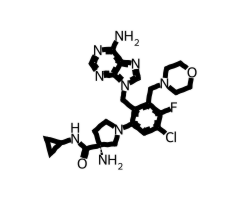 Nc1ncnc2c1ncn2Cc1c(N2CC[C@](N)(C(=O)NC3CC3)C2)cc(Cl)c(F)c1CN1CCOCC1